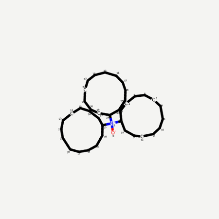 [O-][N+](C1CCCCCCCCCCCC1)(C1CCCCCCCCCCCC1)C1CCCCCCCCCCCC1